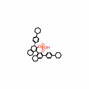 O=P1(O)OC2=C(C3=C(CCCC3)C[C@H]2c2ccc(C3CCCCC3)cc2)c2c3c(cc(-c4ccc(C5CCCCC5)cc4)c2O1)CCCC3